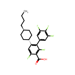 CCCC[C@H]1CC[C@H](c2cc(F)c(C(=O)O)c(F)c2-c2cc(F)c(F)c(F)c2)CC1